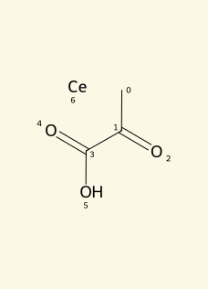 CC(=O)C(=O)O.[Ce]